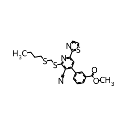 CCCCSCSc1nc(-c2nccs2)cc(-c2cccc(C(=O)OC)c2)c1C#N